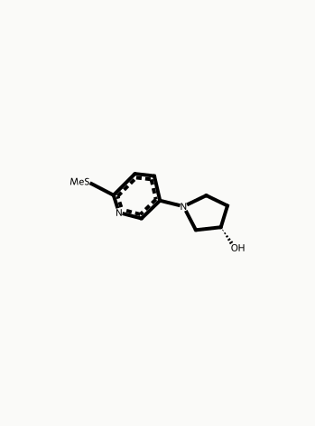 CSc1ccc(N2CC[C@H](O)C2)cn1